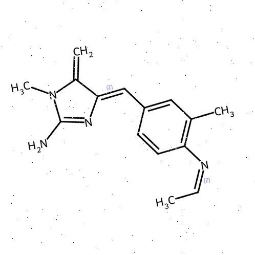 C=c1/c(=C/c2ccc(/N=C\C)c(C)c2)nc(N)n1C